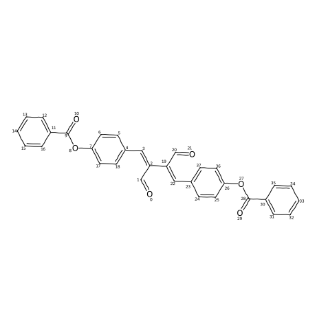 O=CC(=Cc1ccc(OC(=O)c2ccccc2)cc1)C(C=O)=Cc1ccc(OC(=O)c2ccccc2)cc1